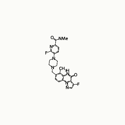 CNC(=O)c1ccc(N2CCN(Cc3ccc4c([nH]c(=O)c5c(F)cnn54)c3C)CC2)c(F)n1